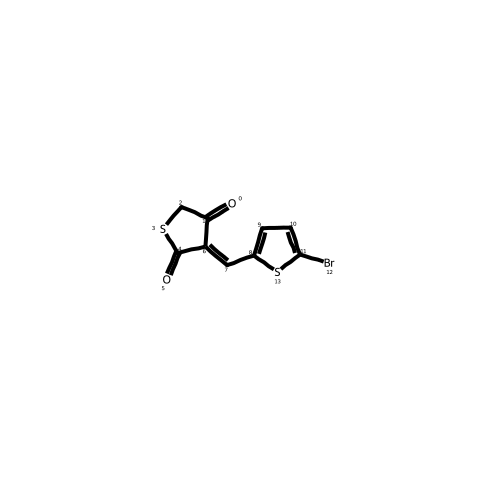 O=C1CSC(=O)/C1=C/c1ccc(Br)s1